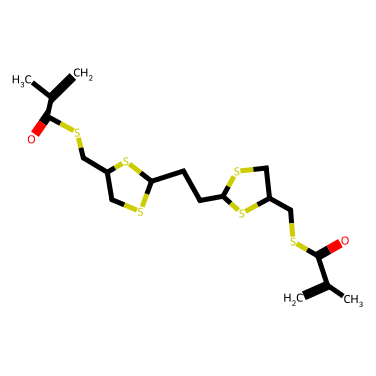 C=C(C)C(=O)SCC1CSC(CCC2SCC(CSC(=O)C(=C)C)S2)S1